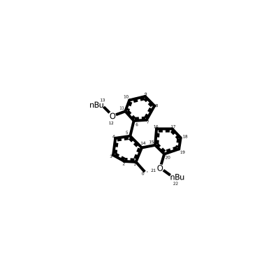 [CH2]c1cccc(-c2ccccc2OCCCC)c1-c1ccccc1OCCCC